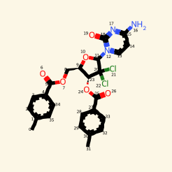 Cc1ccc(C(=O)OC[C@H]2OC(n3ccc(N)nc3=O)C(Cl)(Cl)[C@@H]2OC(=O)c2ccc(C)cc2)cc1